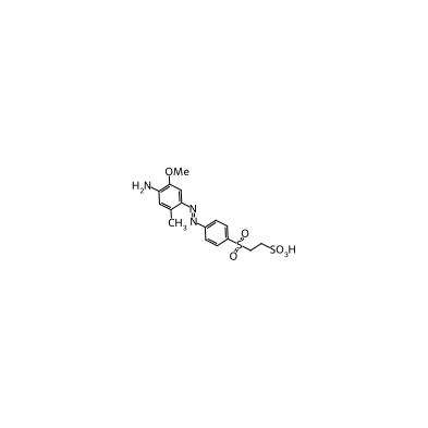 COc1cc(N=Nc2ccc(S(=O)(=O)CCS(=O)(=O)O)cc2)c(C)cc1N